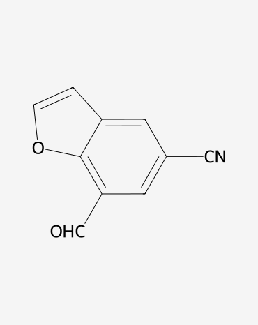 N#Cc1cc(C=O)c2occc2c1